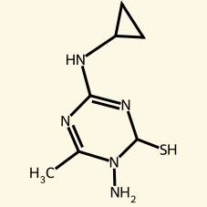 CC1=NC(NC2CC2)=NC(S)N1N